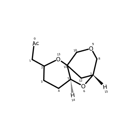 CC(=O)CC1CC[C@@H]2O[C@H]3COCC2(C3)O1